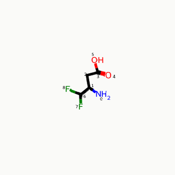 NC(CC(=O)O)C(F)F